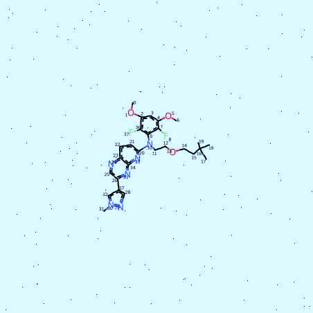 COc1cc(OC)c(F)c(N(CCOCCC(C)(C)C)c2ccc3ncc(-c4cnn(C)c4)nc3n2)c1F